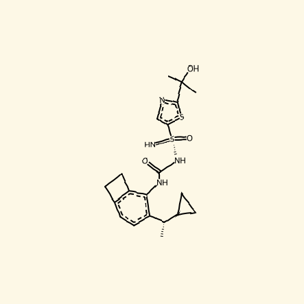 C[C@H](c1ccc2c(c1NC(=O)N[S@@](=N)(=O)c1cnc(C(C)(C)O)s1)CC2)C1CC1